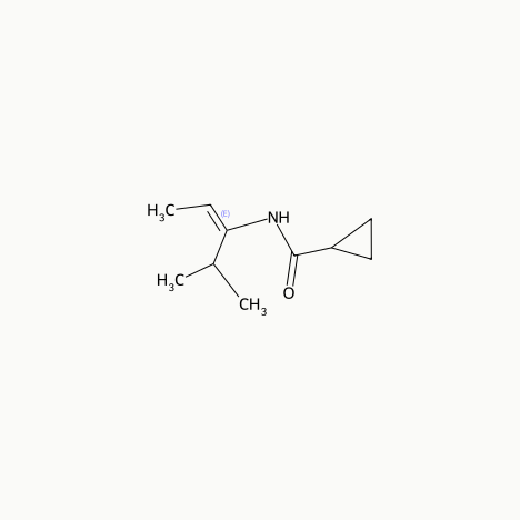 C/C=C(/NC(=O)C1CC1)C(C)C